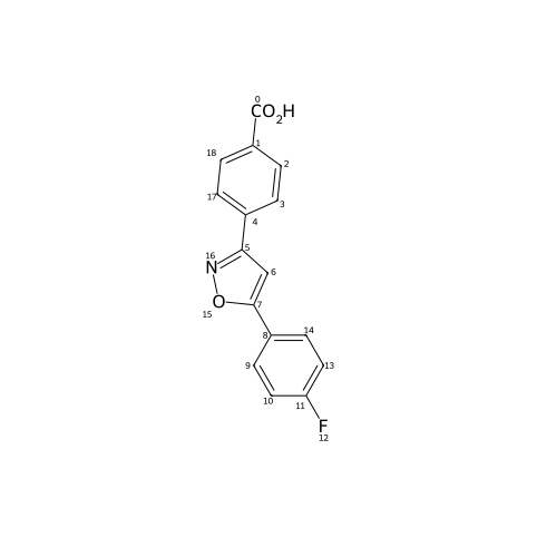 O=C(O)c1ccc(-c2cc(-c3ccc(F)cc3)on2)cc1